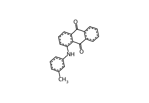 Cc1cccc(Nc2cccc3c2C(=O)c2ccccc2C3=O)c1